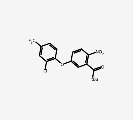 CC(C)(C)C(=O)c1cc(Oc2ccc(C(F)(F)F)cc2Cl)ccc1[N+](=O)[O-]